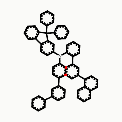 c1ccc(-c2cccc(-c3ccc(N(c4ccc5c(c4)C(c4ccccc4)(c4ccccc4)c4ccccc4-5)c4ccccc4-c4cccc(-c5cccc6ccccc56)c4)cc3)c2)cc1